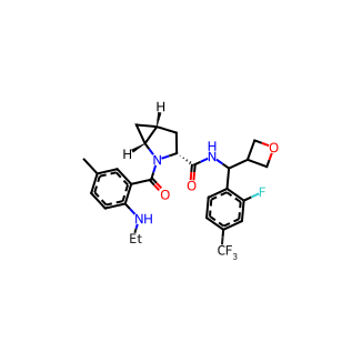 CCNc1ccc(C)cc1C(=O)N1[C@@H](C(=O)NC(c2ccc(C(F)(F)F)cc2F)C2COC2)C[C@H]2C[C@H]21